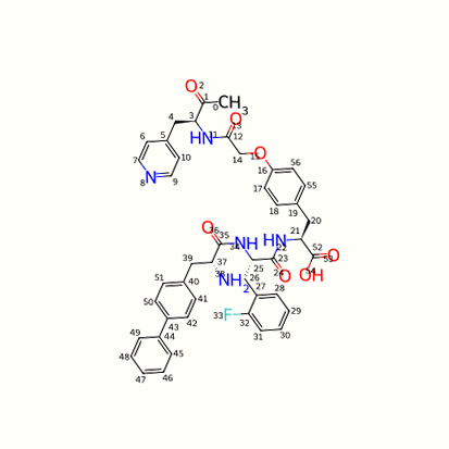 CC(=O)[C@H](Cc1ccncc1)NC(=O)COc1ccc(C[C@H](NC(=O)[C@H](Cc2ccccc2F)NC(=O)[C@H](N)Cc2ccc(-c3ccccc3)cc2)C(=O)O)cc1